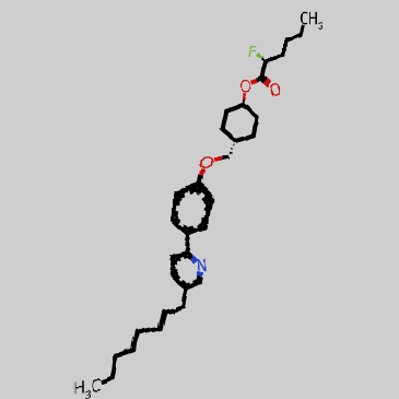 CCCCCCCCc1ccc(-c2ccc(OC[C@H]3CC[C@H](OC(=O)[C@@H](F)CCCC)CC3)cc2)nc1